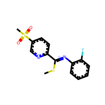 CS/C(=N\c1ccccc1F)c1ccc(S(C)(=O)=O)cn1